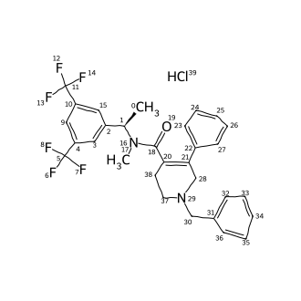 C[C@H](c1cc(C(F)(F)F)cc(C(F)(F)F)c1)N(C)C(=O)C1=C(c2ccccc2)CN(Cc2ccccc2)CC1.Cl